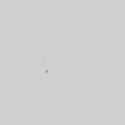 C#CCC[C@H](N=C)C(=O)O